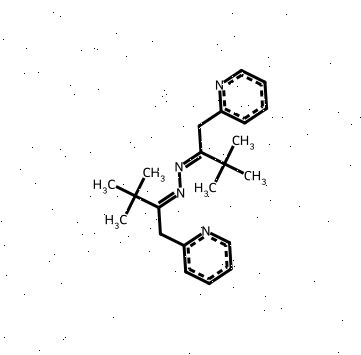 CC(C)(C)C(Cc1ccccn1)=NN=C(Cc1ccccn1)C(C)(C)C